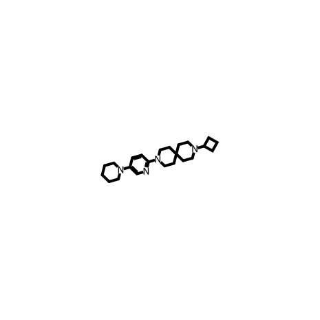 c1cc(N2CCC3(CC2)CCN(C2CCC2)CC3)ncc1N1CCCCC1